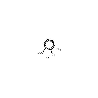 N.O=C([O-])c1ccccc1O.[Na+]